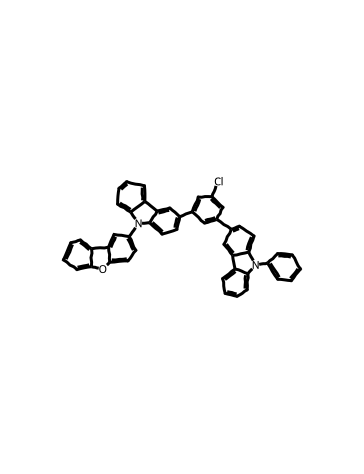 Clc1cc(-c2ccc3c(c2)c2ccccc2n3-c2ccccc2)cc(-c2ccc3c(c2)c2ccccc2n3-c2ccc3oc4ccccc4c3c2)c1